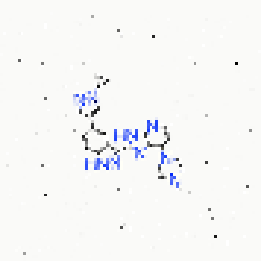 CN1CCN(c2ccnc3[nH]c(-c4n[nH]c5ccc(-c6cnn(C7CC7)c6)cc45)nc23)CC1